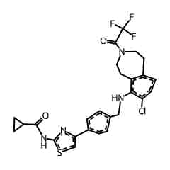 O=C(Nc1nc(-c2ccc(CNc3c(Cl)ccc4c3CCN(C(=O)C(F)(F)F)CC4)cc2)cs1)C1CC1